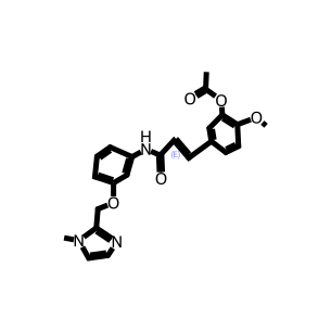 COc1ccc(/C=C/C(=O)Nc2cccc(OCc3nccn3C)c2)cc1OC(C)=O